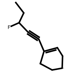 CCC(F)C#CC1=CC[CH]CC1